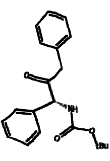 CC(C)(C)OC(=O)N[C@@H](C(=O)Cc1ccccc1)c1ccccc1